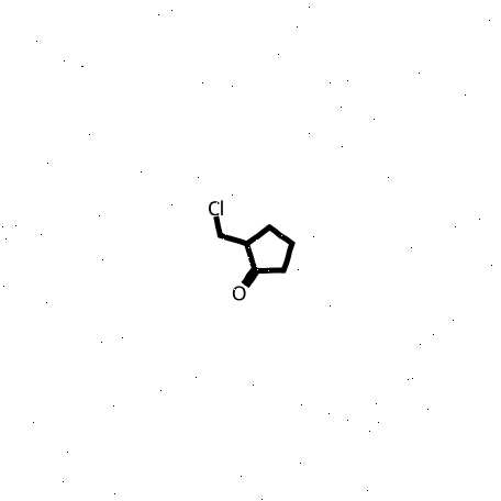 O=C1CCCC1CCl